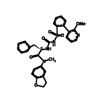 COc1ncccc1-c1ccccc1S(=O)(=O)NC(=O)N[C@@H](Cc1ccccc1)C(=O)N(C)c1ccc2c(c1)CCO2